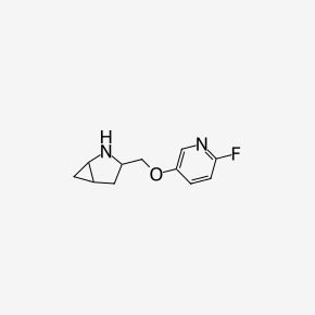 Fc1ccc(OCC2CC3CC3N2)cn1